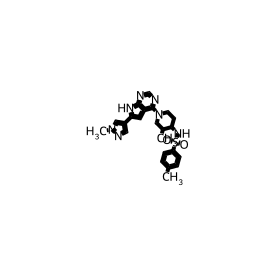 Cc1ccc(S(=O)(=O)NC2CCN(c3ncnc4[nH]c(-c5cnn(C)c5)cc34)CC2C)cc1